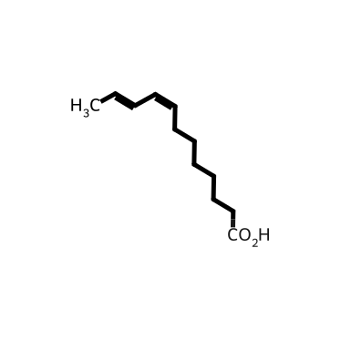 C/C=C/C=C\CCCCCCC(=O)O